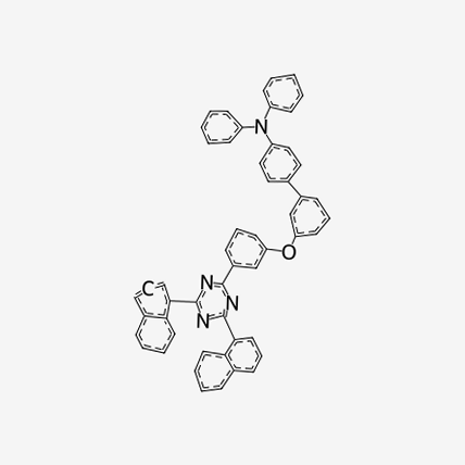 c1ccc(N(c2ccccc2)c2ccc(-c3cccc(Oc4cccc(-c5nc(-c6cccc7ccccc67)nc(-c6cccc7ccccc67)n5)c4)c3)cc2)cc1